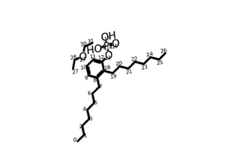 CCCCCCCCc1cccc(OP(=O)(O)O)c1CCCCCCCC.CCOCC